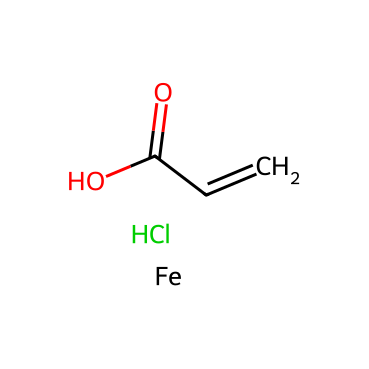 C=CC(=O)O.Cl.[Fe]